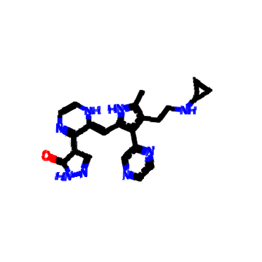 Cc1[nH]c(C=C2NC=CN=C2C2C=NNC2=O)c(-c2cnccn2)c1CCNC1CC1